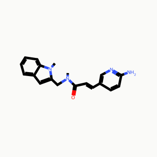 CN(Cc1cc2ccccc2n1C)C(=O)/C=C/c1ccc(N)nc1